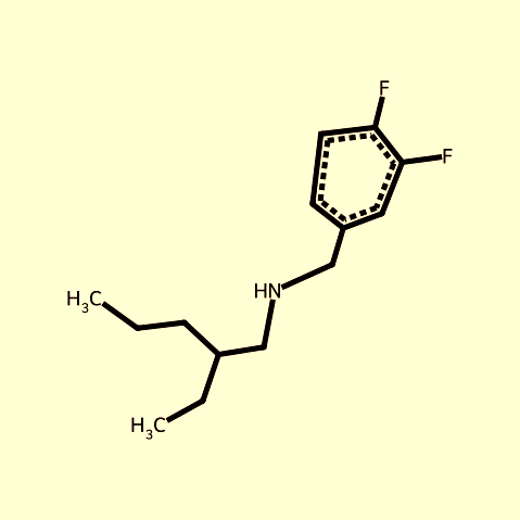 CCCC(CC)CNCc1ccc(F)c(F)c1